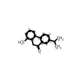 Cc1cccc2c1CC(=O)c1cc(C(C)C)ccc1-2